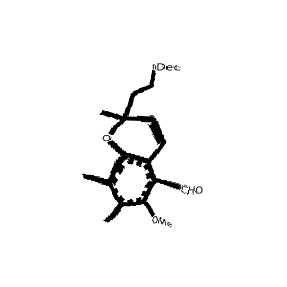 CCCCCCCCCCCCC1(C)C=Cc2c(C=O)c(OC)c(C)c(C)c2O1